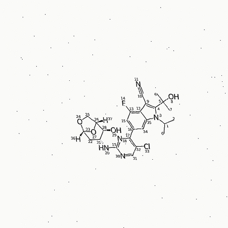 CC(C)n1c(C(C)(C)O)c(C#N)c2c(F)cc(-c3nc(N[C@@H]4C[C@@H]5OC[C@@H](O5)[C@H]4O)ncc3Cl)cc21